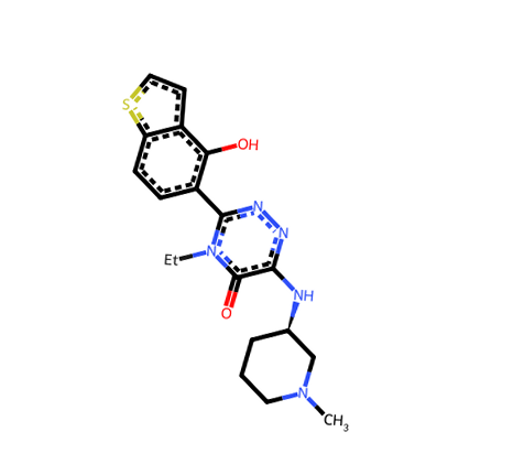 CCn1c(-c2ccc3sccc3c2O)nnc(N[C@@H]2CCCN(C)C2)c1=O